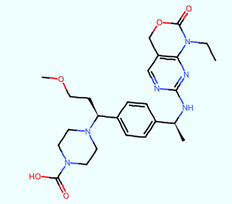 CCN1C(=O)OCc2cnc(N[C@@H](C)c3ccc([C@H](CCOC)N4CCN(C(=O)O)CC4)cc3)nc21